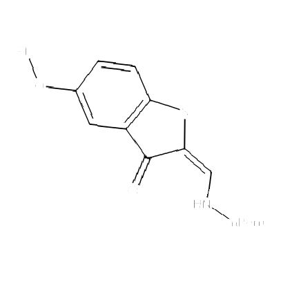 CCCCCNC=C1Sc2ccc(OCC)cc2C1=O